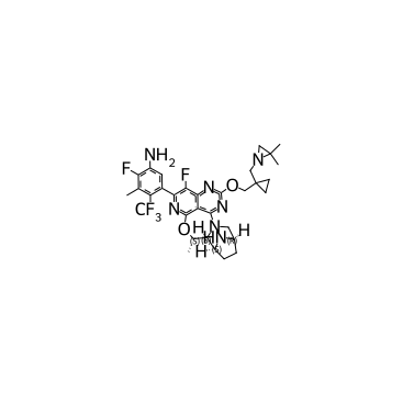 Cc1c(F)c(N)cc(-c2nc3c4c(nc(OCC5(CN6CC6(C)C)CC5)nc4c2F)N2C[C@H]4CC[C@H](N4)[C@H]2[C@H](C)O3)c1C(F)(F)F